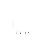 CC1=CN(COCC[Si](C)(C)C)CC(Oc2cccc(I)c2)=C1